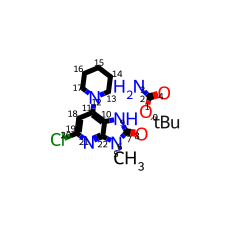 CC(C)(C)OC(N)=O.Cn1c(=O)[nH]c2c(N3CCCCC3)cc(Cl)nc21